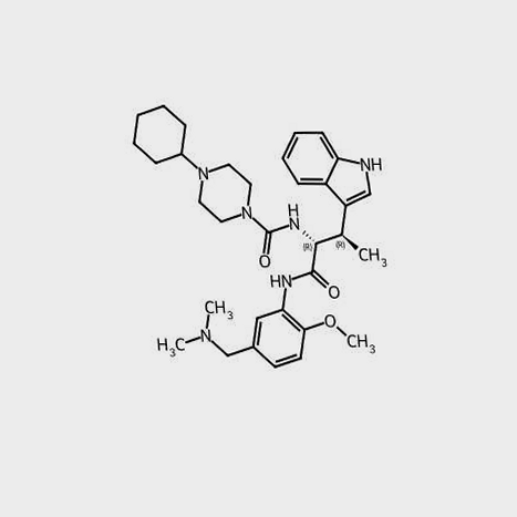 COc1ccc(CN(C)C)cc1NC(=O)[C@H](NC(=O)N1CCN(C2CCCCC2)CC1)[C@H](C)c1c[nH]c2ccccc12